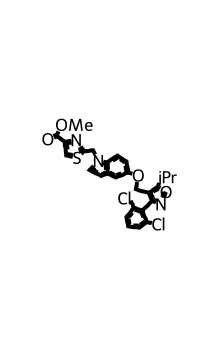 COC(=O)c1csc(Cn2ccc3cc(OCc4c(-c5c(Cl)cccc5Cl)noc4C(C)C)ccc32)n1